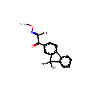 CCCC1(CCC)c2ccccc2-c2ccc(C(=O)/C(C)=N/OC=O)cc21